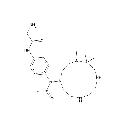 CC(=O)N(c1ccc(NC(=O)CN)cc1)N1CCNCCNCC(C)(C)N(C)CC1